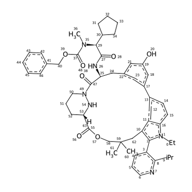 CCn1c(-c2cccnc2C(C)C)c2c3cc(ccc31)-c1cc(O)cc(c1)C[C@H](NC(=O)[C@H](C1CCCC1)N(C)C(=O)OCc1ccccc1)C(=O)N1CCC[C@H](N1)C(=O)OCC(C)(C)C2